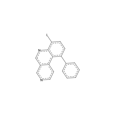 Ic1ccc(-c2ccccc2)c2c1ncc1cnccc12